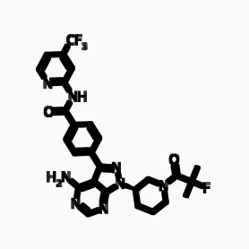 CC(C)(F)C(=O)N1CCC[C@@H](n2nc(-c3ccc(C(=O)Nc4cc(C(F)(F)F)ccn4)cc3)c3c(N)ncnc32)C1